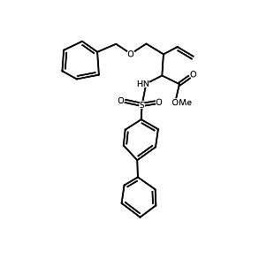 C=CC(COCc1ccccc1)C(NS(=O)(=O)c1ccc(-c2ccccc2)cc1)C(=O)OC